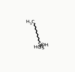 CCCCCCCCCCCCSP(O)(O)=S